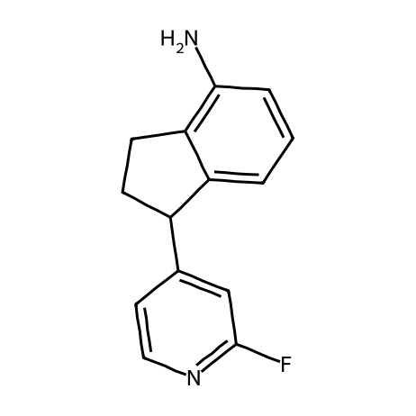 Nc1cccc2c1CCC2c1ccnc(F)c1